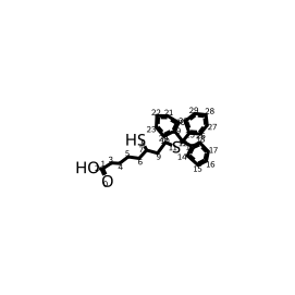 O=C(O)CCCCC(S)CCSC(c1ccccc1)(c1ccccc1)c1ccccc1